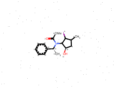 COC(=O)N(C1C(I)C(C)C[C@H]1O)[C@H](C)c1ccccc1